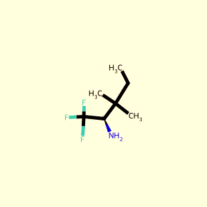 CCC(C)(C)[C@@H](N)C(F)(F)F